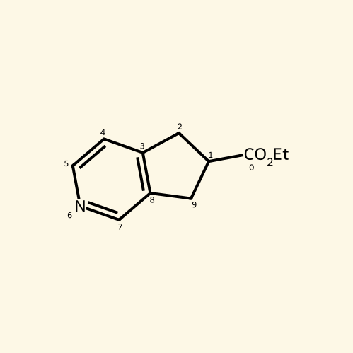 CCOC(=O)C1Cc2ccncc2C1